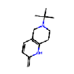 C=C1C=CC2=C(CCN(C(C)(C)C)C2)N1